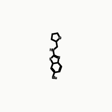 CC(C)(C)C1=CC2SC(NCC3CCCO3)=NC2C=C1